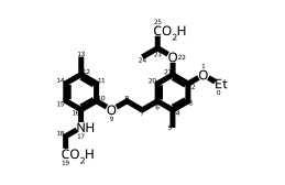 CCOc1cc(C)c(CCOc2cc(C)ccc2NCC(=O)O)cc1OC(C)C(=O)O